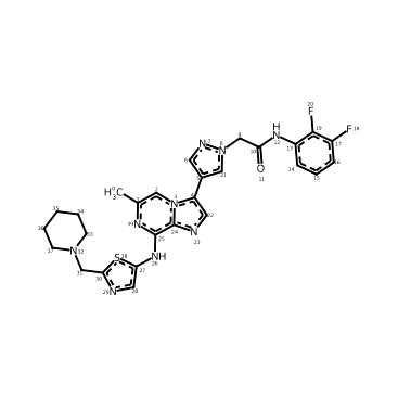 Cc1cn2c(-c3cnn(CC(=O)Nc4cccc(F)c4F)c3)cnc2c(Nc2cnc(CN3CCCCC3)s2)n1